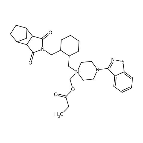 CCC(=O)OC[N+]1(CC2CCCCC2CN2C(=O)C3C4CCC(C4)C3C2=O)CCN(c2nsc3ccccc23)CC1